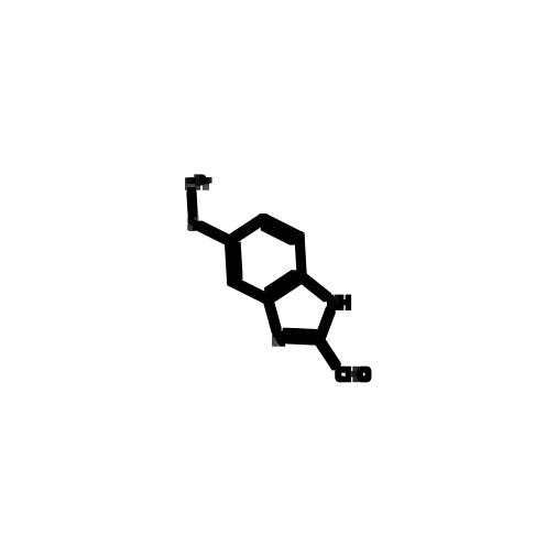 CCCSc1ccc2[nH]c(C=O)nc2c1